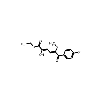 CCOC(=O)/C(O)=C/C=C(\SC)C(=O)c1ccc(Br)cc1